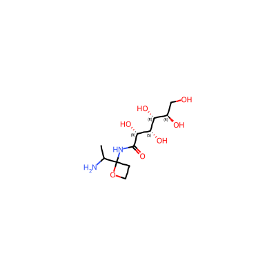 CC(N)C1(NC(=O)[C@H](O)[C@@H](O)[C@H](O)[C@H](O)CO)CCO1